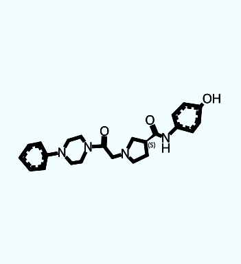 O=C(Nc1ccc(O)cc1)[C@H]1CCN(CC(=O)N2CCN(c3ccccc3)CC2)C1